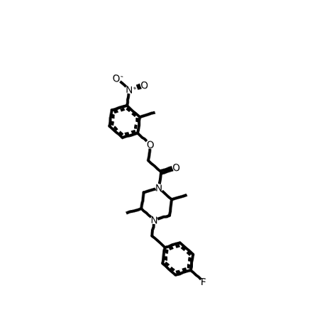 Cc1c(OCC(=O)N2CC(C)N(Cc3ccc(F)cc3)CC2C)cccc1[N+](=O)[O-]